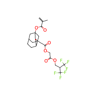 C=C(C)C(=O)OC12CC3CCC(C(C3)C1)C(C(=O)OCC(=O)OCC(C(F)(F)F)C(F)(F)F)C2